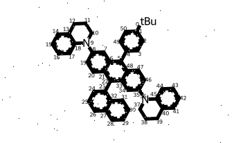 CC(C)(C)c1ccc(-c2c3cc(N4CCCc5ccccc54)ccc3c(-c3cccc4ccccc34)c3cc(N4CCCc5ccccc54)ccc23)cc1